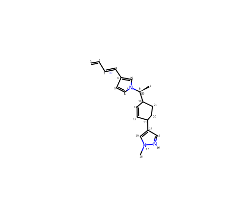 C=C/C=C/c1ccn([C@@H](C)C2C=CC(c3cnn(C)c3)CC2)c1